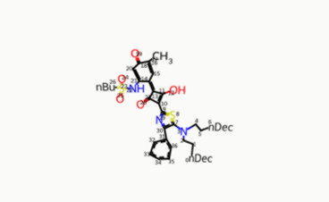 CCCCCCCCCCCCN(CCCCCCCCCCCC)c1sc(C2=C(O)/C(=C3\C=C(C)C(=O)C=C3NS(=O)(=O)CCCC)C2=O)nc1-c1ccccc1